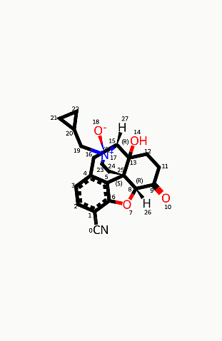 N#Cc1ccc2c3c1O[C@H]1C(=O)CCC4(O)[C@@H](C2)[N@@+]([O-])(CC2CC2)CC[C@]314